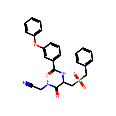 N#CCNC(=O)C(CS(=O)(=O)Cc1ccccc1)NC(=O)c1cccc(Oc2ccccc2)c1